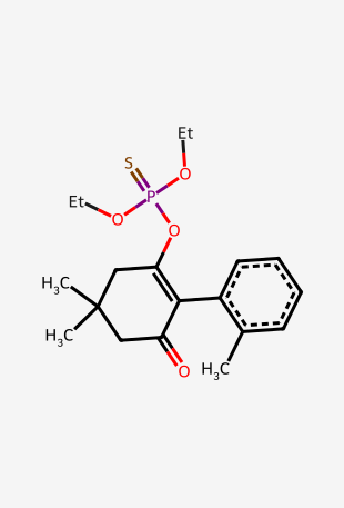 CCOP(=S)(OCC)OC1=C(c2ccccc2C)C(=O)CC(C)(C)C1